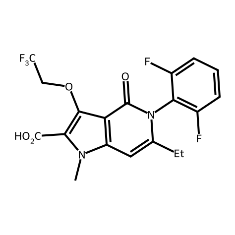 CCc1cc2c(c(OCC(F)(F)F)c(C(=O)O)n2C)c(=O)n1-c1c(F)cccc1F